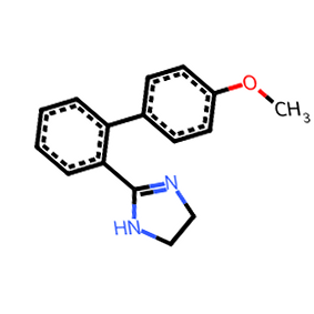 COc1ccc(-c2ccccc2C2=NCCN2)cc1